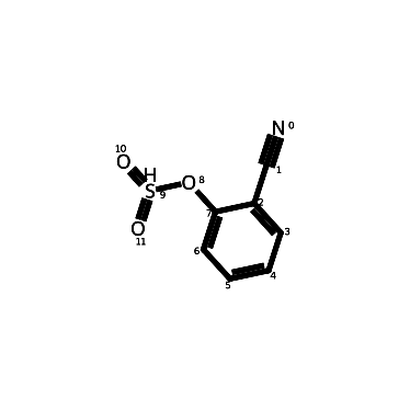 N#Cc1ccccc1O[SH](=O)=O